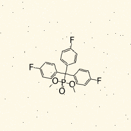 COP(=O)(OC)C(c1ccc(F)cc1)(c1ccc(F)cc1)c1ccc(F)cc1